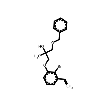 C=Cc1cccc(OCC(C)(O)COCc2ccccc2)c1Br